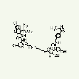 CO[C@@H](C)c1c(NC(=O)Nc2cc(Cl)cnc2OCCNCCCCCCC(=O)NC(C(=O)N2C[C@@H](O)C[C@@H]2C(=O)NCc2ccc(-c3scnc3C)cc2)C(C)(C)C)cnc2cc(Cl)nn12